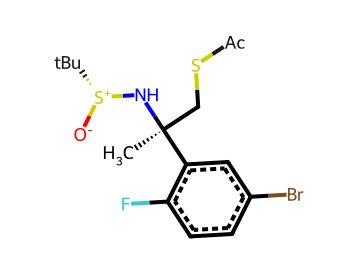 CC(=O)SC[C@](C)(N[S@+]([O-])C(C)(C)C)c1cc(Br)ccc1F